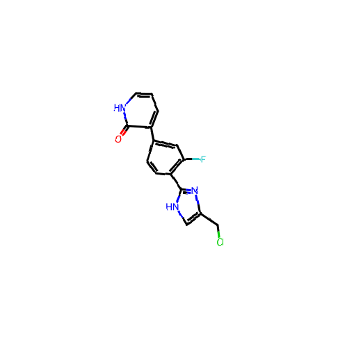 O=c1[nH]cccc1-c1ccc(-c2nc(CCl)c[nH]2)c(F)c1